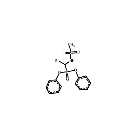 CCC(NS(C)(=O)=O)P(=O)(Oc1ccccc1)Oc1ccccc1